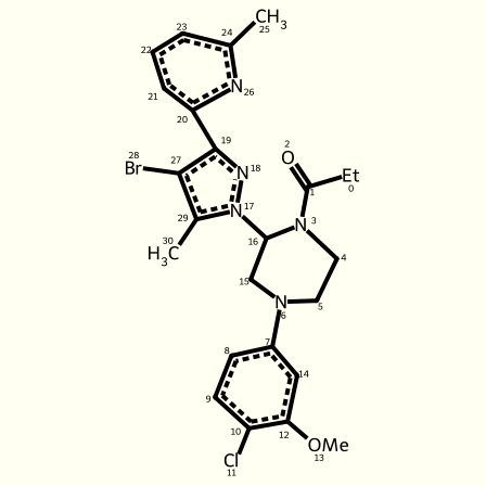 CCC(=O)N1CCN(c2ccc(Cl)c(OC)c2)CC1n1nc(-c2cccc(C)n2)c(Br)c1C